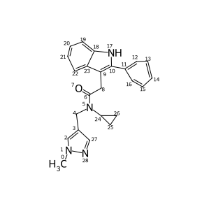 Cn1cc(CN(C(=O)Cc2c(-c3ccccc3)[nH]c3ccccc23)C2CC2)cn1